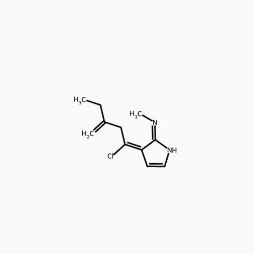 C=C(CC)C/C(Cl)=C1/C=CN/C1=N/C